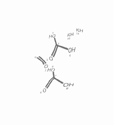 C=O.O=C(O)O.O=C(O)O.[KH].[KH]